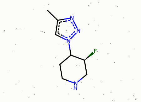 Cc1cn(C2CCNC[C@@H]2F)nn1